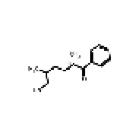 CC(CN)CC[C@H](N)C(=O)c1ccccc1